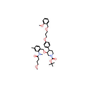 COCCCC(=O)N(C)c1cc(C)ccc1COC1CN(C(=O)OC(C)(C)C)CCC1c1ccc(OCCCOCc2ccccc2OC)cc1